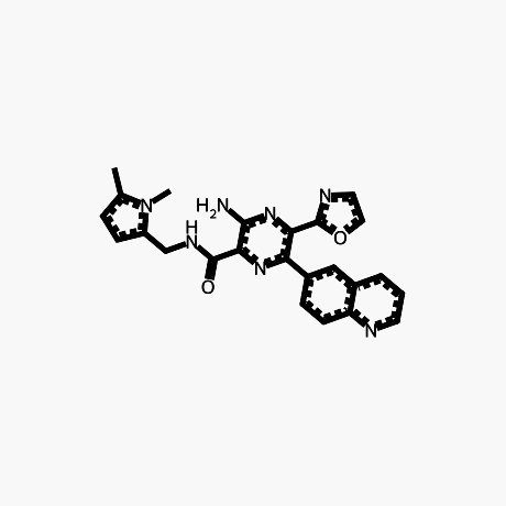 Cc1ccc(CNC(=O)c2nc(-c3ccc4ncccc4c3)c(-c3ncco3)nc2N)n1C